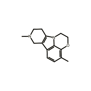 Cc1ccc2c3c(n4c2c1OCC4)CCN(C)C3